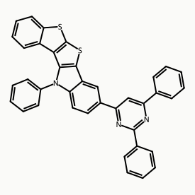 c1ccc(-c2cc(-c3ccc4c(c3)c3sc5sc6ccccc6c5c3n4-c3ccccc3)nc(-c3ccccc3)n2)cc1